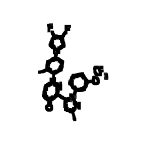 Cc1cc(-c2nn(-c3ccc(-n4cc(F)c(F)c4)cc3C)ccc2=O)n(-c2cccc(OC(F)(F)F)c2)n1